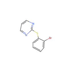 Brc1ccccc1Sc1ncccn1